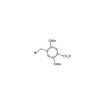 COc1cc(C(=O)O)c(OC)cc1CBr